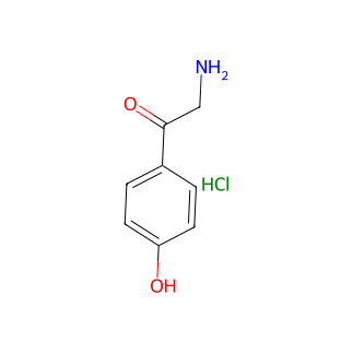 Cl.NCC(=O)c1ccc(O)cc1